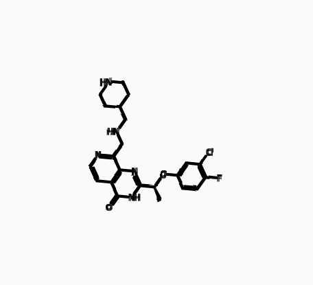 C[C@H](Oc1ccc(F)c(Cl)c1)c1nc2c(CNCC3CCNCC3)nccc2c(=O)[nH]1